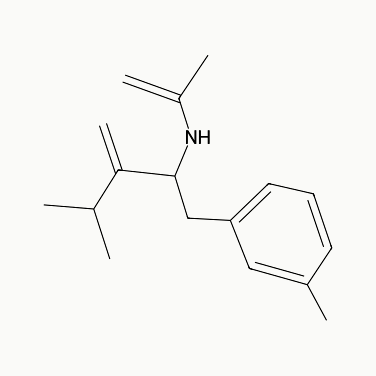 C=C(C)NC(Cc1cccc(C)c1)C(=C)C(C)C